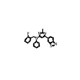 Cc1nc(-c2ccc3ncsc3c2)cc(N(Cc2c[c]ccc2F)c2ccccc2)n1